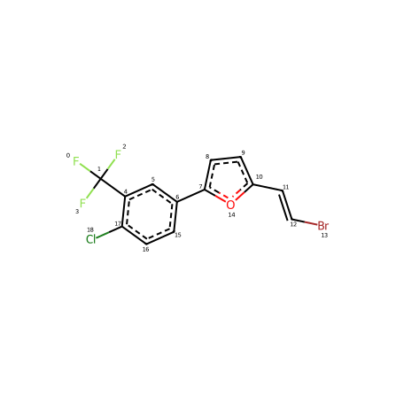 FC(F)(F)c1cc(-c2ccc(C=CBr)o2)ccc1Cl